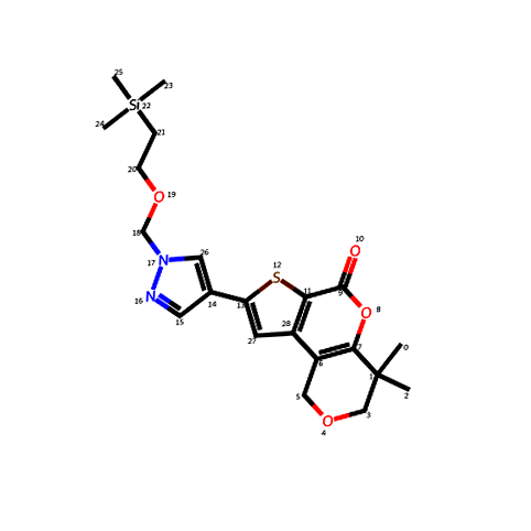 CC1(C)COCc2c1oc(=O)c1sc(-c3cnn(COCC[Si](C)(C)C)c3)cc21